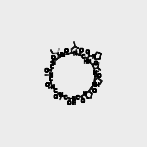 CC[C@H](C)C1NC(=O)C(CC(C)C)N(C)C(=O)CC(C(=O)N2CCCC2)NC(=O)C(C(C)C)N(C)C(=O)C2(CCCC2)NC(=O)C2CCCN2C(=O)CNC(=O)CN(C)C(=O)CN(C)C(=O)CN(C)C(=O)CN(C)C1=O